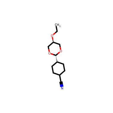 CCO[C@H]1CO[C@H](C2CCC(C#N)CC2)OC1